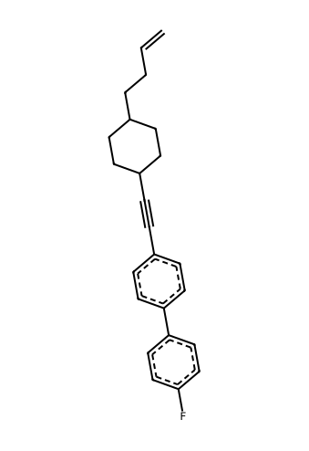 C=CCCC1CCC(C#Cc2ccc(-c3ccc(F)cc3)cc2)CC1